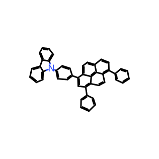 c1ccc(-c2ccc3ccc4c(-c5ccc(-n6c7ccccc7c7ccccc76)cc5)cc(-c5ccccc5)c5ccc2c3c45)cc1